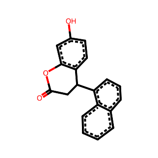 O=C1CC(c2cccc3ccccc23)c2ccc(O)cc2O1